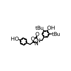 CC(C)(C)c1cc(Cn2nc(Cc3ccc(O)cc3)oc2=O)cc(C(C)(C)C)c1O